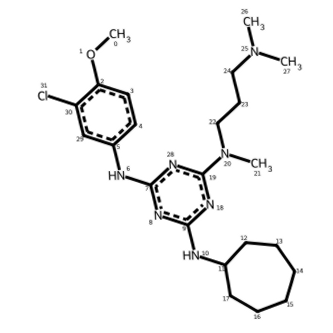 COc1ccc(Nc2nc(NC3CCCCCC3)nc(N(C)CCCN(C)C)n2)cc1Cl